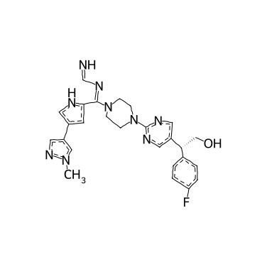 Cn1cc(-c2c[nH]c(/C(=N\C=N)N3CCN(c4ncc([C@H](CO)c5ccc(F)cc5)cn4)CC3)c2)cn1